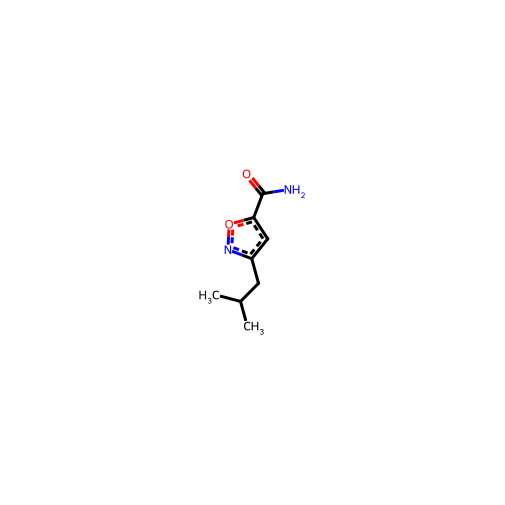 CC(C)Cc1cc(C(N)=O)on1